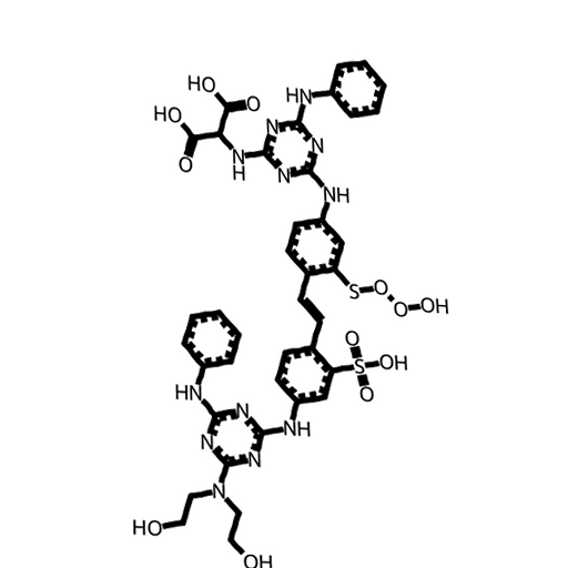 O=C(O)C(Nc1nc(Nc2ccccc2)nc(Nc2ccc(/C=C/c3ccc(Nc4nc(Nc5ccccc5)nc(N(CCO)CCO)n4)cc3S(=O)(=O)O)c(SOOO)c2)n1)C(=O)O